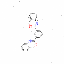 c1cc(C2=Nc3ccccc3CO2)cc(C2=Nc3ccccc3CO2)c1